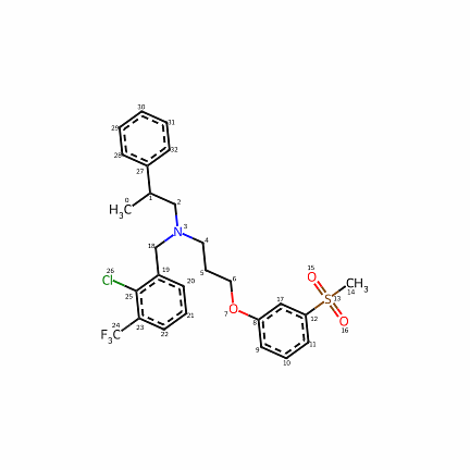 CC(CN(CCCOc1cccc(S(C)(=O)=O)c1)Cc1cccc(C(F)(F)F)c1Cl)c1ccccc1